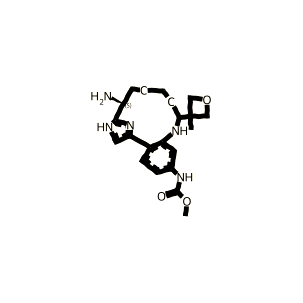 COC(=O)Nc1ccc2c(c1)NC(C1(C)COC1)CCCC[C@H](N)c1nc-2c[nH]1